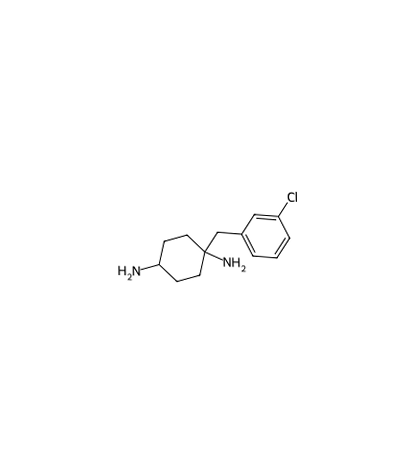 NC1CCC(N)(Cc2cccc(Cl)c2)CC1